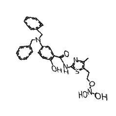 Cc1nc(NC(=O)c2cc(N(Cc3ccccc3)Cc3ccccc3)ccc2O)sc1CCON(O)O